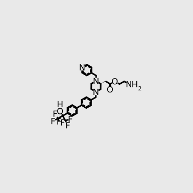 NCCOC(=O)C[C@@H]1CN(Cc2ccc(-c3ccc(C(O)(C(F)(F)F)C(F)(F)F)cc3)cc2)CCN1Cc1ccncc1